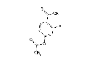 CC(=O)Oc1ccc(C(=O)O)c(F)c1